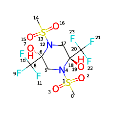 CS(=O)(=O)N1C[C@@](O)(C(F)(F)F)N(S(C)(=O)=O)C[C@]1(O)C(F)(F)F